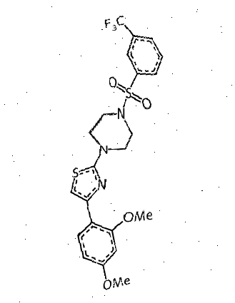 COc1ccc(-c2csc(N3CCN(S(=O)(=O)c4cccc(C(F)(F)F)c4)CC3)n2)c(OC)c1